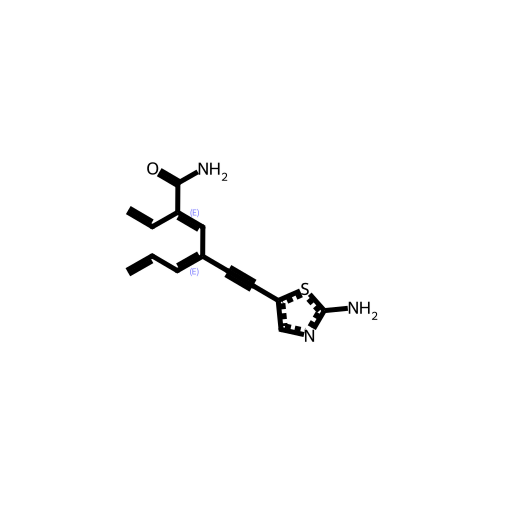 C=C/C=C(C#Cc1cnc(N)s1)\C=C(/C=C)C(N)=O